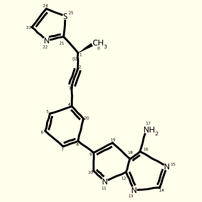 C[C@@H](C#Cc1cccc(-c2cnc3ncnc(N)c3c2)c1)c1nccs1